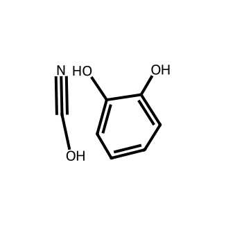 N#CO.Oc1ccccc1O